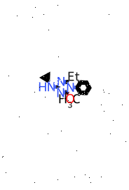 CCc1cccc(C)c1-n1cnc(NC2CC2)nc1=O